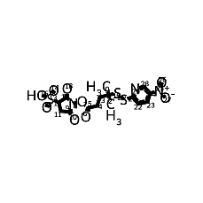 CC(C)(CCC(=O)ON1C(=O)CC(S(=O)(=O)O)C1=O)SSc1ccc([N+](=O)[O-])cn1